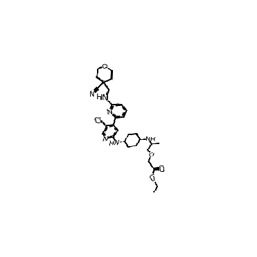 CCOC(=O)COCC(C)N[C@H]1CC[C@H](Nc2cc(-c3cccc(NCC4(C#N)CCOCC4)n3)c(Cl)cn2)CC1